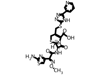 CON=C(C(=O)N[C@@H]1C(=O)N2C(C(=O)O)=C(CSc3nnc(-c4cccnc4)[nH]3)CS[C@@H]12)c1csc(N)n1